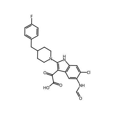 O=CNc1cc2c(C(=O)C(=O)O)c(N3CCC(Cc4ccc(F)cc4)CC3)[nH]c2cc1Cl